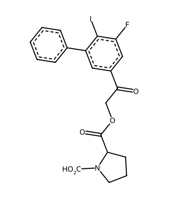 O=C(COC(=O)C1CCCN1C(=O)O)c1cc(F)c(I)c(-c2ccccc2)c1